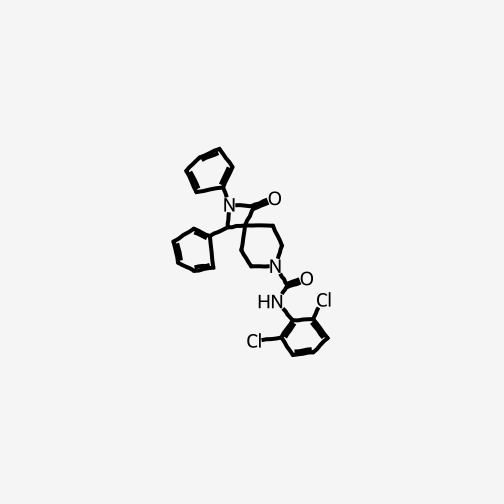 O=C(Nc1c(Cl)cccc1Cl)N1CCC2(CC1)C(=O)N(c1ccccc1)C2c1ccccc1